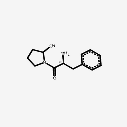 N#CC1CCCN1C(=O)[C@@H](N)Cc1ccccc1